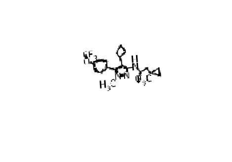 Cn1nc(NC(=O)CC2(C(F)(F)F)CC2)c(C2CCC2)c1-c1ccc(OC(F)(F)F)cc1